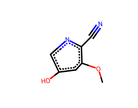 COc1cc(O)cnc1C#N